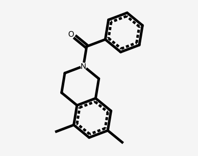 Cc1cc(C)c2c(c1)CN(C(=O)c1ccccc1)CC2